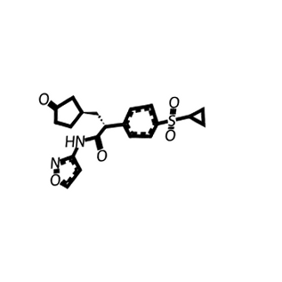 O=C1CC[C@H](C[C@@H](C(=O)Nc2ccon2)c2ccc(S(=O)(=O)C3CC3)cc2)C1